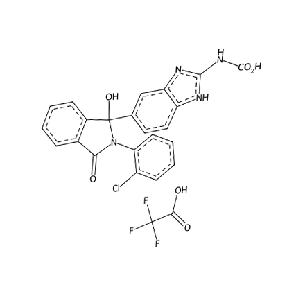 O=C(O)C(F)(F)F.O=C(O)Nc1nc2cc(C3(O)c4ccccc4C(=O)N3c3ccccc3Cl)ccc2[nH]1